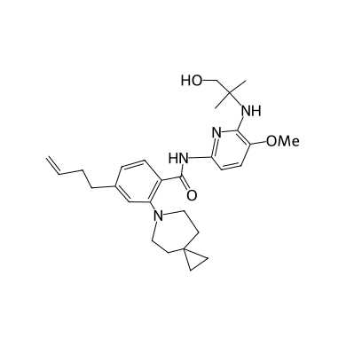 C=CCCc1ccc(C(=O)Nc2ccc(OC)c(NC(C)(C)CO)n2)c(N2CCC3(CC2)CC3)c1